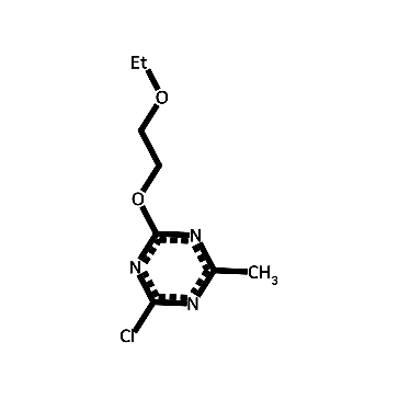 CCOCCOc1nc(C)nc(Cl)n1